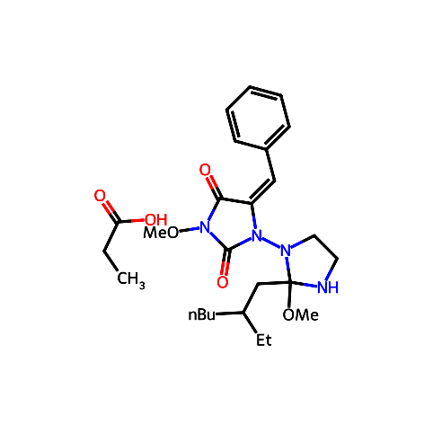 CCC(=O)O.CCCCC(CC)CC1(OC)NCCN1N1C(=O)N(OC)C(=O)C1=Cc1ccccc1